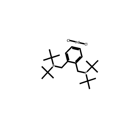 CC(C)(C)P(Cc1ccccc1CP(C(C)(C)C)C(C)(C)C)C(C)(C)C.[Cl][Pd][Cl]